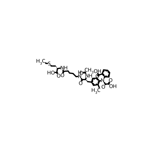 CCSCC[C@H](NC(=O)CCCCNC(=O)[C@H](Cc1ccc(N(C(=O)C(=O)O)c2ccccc2C(=O)O)c(CC)c1)NC(C)=O)C(=O)O